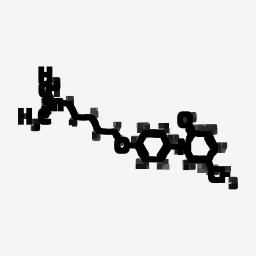 [CH3][SnH]([CH3])[CH2]CCCCOc1ccc(-n2cc(C(F)(F)F)ccc2=O)cc1